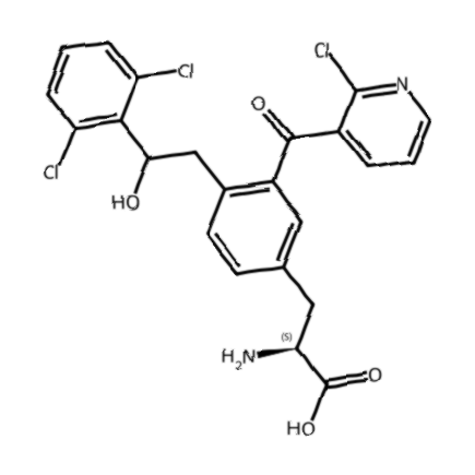 N[C@@H](Cc1ccc(CC(O)c2c(Cl)cccc2Cl)c(C(=O)c2cccnc2Cl)c1)C(=O)O